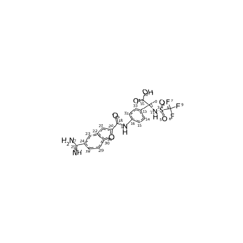 CC(NS(=O)(=O)C(F)(F)F)(C(=O)O)c1ccc(NC(=O)c2cc3cc(C(=N)N)ccc3o2)cc1